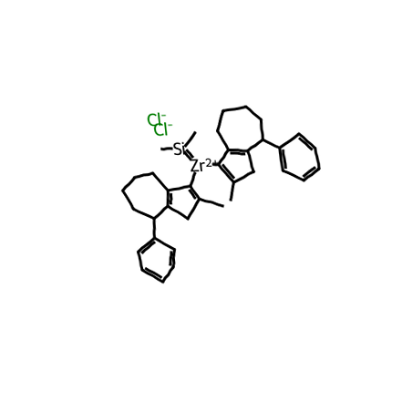 CC1=[C]([Zr+2]([C]2=C(C)CC3=C2CCCCC3c2ccccc2)=[Si](C)C)C2=C(C1)C(c1ccccc1)CCCC2.[Cl-].[Cl-]